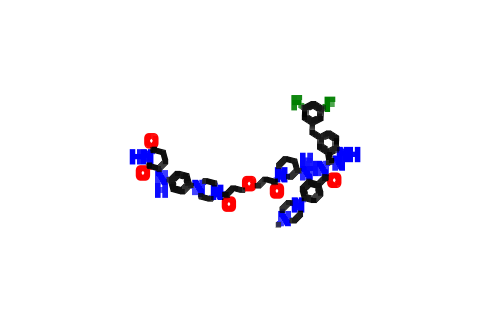 CN1CCN(c2ccc(C(=O)Nc3n[nH]c4ccc(Cc5cc(F)cc(F)c5)cc34)c(NC3CCCN(C(=O)CCOCCC(=O)N4CCN(c5ccc(NC6CCC(=O)NC6=O)cc5)CC4)C3)c2)CC1